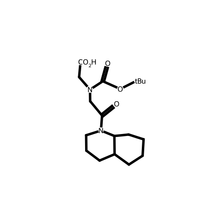 CC(C)(C)OC(=O)N(CC(=O)O)CC(=O)N1CCCC2CCCCC21